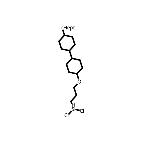 CCCCCCCC1CCC(C2CCC(OCCC[SiH](Cl)Cl)CC2)CC1